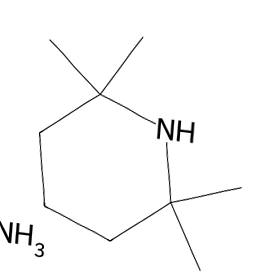 CC1(C)CCCC(C)(C)N1.N